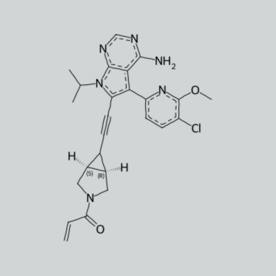 C=CC(=O)N1C[C@@H]2C(C#Cc3c(-c4ccc(Cl)c(OC)n4)c4c(N)ncnc4n3C(C)C)[C@@H]2C1